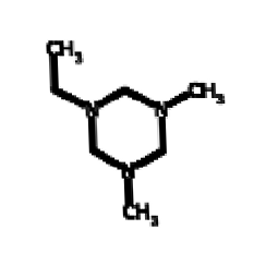 CCN1CN(C)CN(C)C1